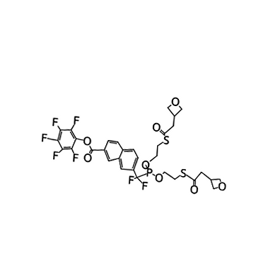 O=C(CC1COC1)SCCOP(OCCSC(=O)CC1COC1)C(F)(F)c1ccc2ccc(C(=O)Oc3c(F)c(F)c(F)c(F)c3F)cc2c1